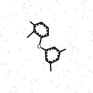 Cc1cc(C)cc(Oc2cccc(C)c2C)c1